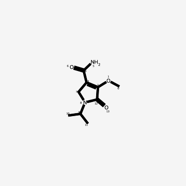 COC1=C(C(N)=O)CN(C(C)C)C1=O